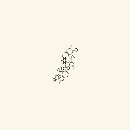 COc1cc2c(cc1C)CCNC2(OC(=O)C(=O)OC1(C2(c3ccsc3)CC2)NCCc2cc(C)c(OC)cc21)C1(c2ccsc2)CC1